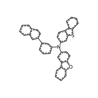 c1cc(-c2ccc3ccccc3c2)cc(N(c2ccc3c(c2)sc2ccccc23)c2ccc3oc4ccccc4c3c2)c1